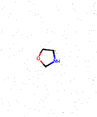 [CH]1CO[CH]N1